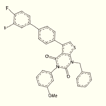 COc1cccc(-n2c(=O)c3c(-c4ccc(-c5ccc(F)c(F)c5)cc4)csc3n(Cc3ccccc3)c2=O)c1